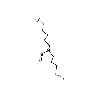 CCCCCCN([C]=O)CCCCC